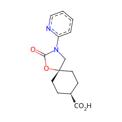 O=C1O[C@]2(CC[C@H](C(=O)O)CC2)CN1c1ccccn1